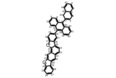 C1=CC2=CC=C(c3c4ccccc4c(-c4ccc5oc6c7cc8oc9ccccc9c8cc7ccc6c5c4)c4ccccc34)CC2C=C1